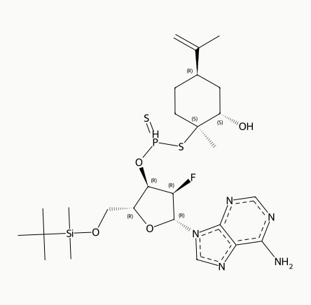 C=C(C)[C@@H]1CC[C@](C)(S[PH](=S)O[C@H]2[C@@H](F)[C@H](n3cnc4c(N)ncnc43)O[C@@H]2CO[Si](C)(C)C(C)(C)C)[C@@H](O)C1